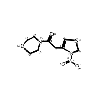 O=C(CC1=CSCN1[N+](=O)[O-])N1CCOCC1